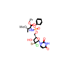 CO[C@H](C)[C@H](NP(=O)(OC[C@H]1O[C@@H](n2ccc(=O)[nH]c2=O)[C@](Cl)(Br)[C@@H]1O)Oc1ccccc1)C(=O)OC(C)C